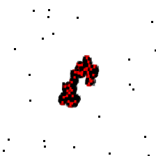 c1ccc(-c2cc(-c3nc(-c4ccc5ccccc5c4)nc(-c4ccc(-c5cccc(-c6ccc(-c7ccc(-c8nc(-c9ccc%10ccccc%10c9)nc(-c9cccc%10oc%11ccccc%11c9%10)n8)c8c7oc7ncccc78)cc6)c5)c5oc6ccccc6c45)n3)c3c(c2)oc2ncccc23)cc1